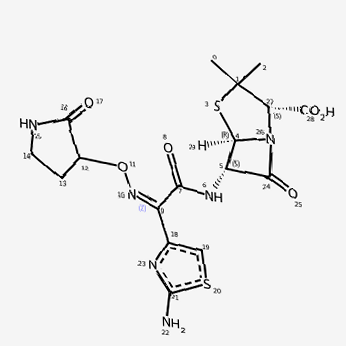 CC1(C)S[C@@H]2[C@@H](NC(=O)/C(=N\OC3CCNC3=O)c3csc(N)n3)C(=O)N2[C@H]1C(=O)O